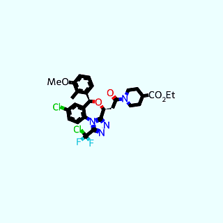 CCOC(=O)C1CCN(C(=O)C[C@H]2O[C@H](c3cccc(OC)c3C)c3cc(Cl)ccc3-n3c2nnc3C(F)(F)Cl)CC1